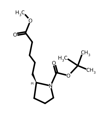 COC(=O)CCCC[C@@H]1CCCN1C(=O)OC(C)(C)C